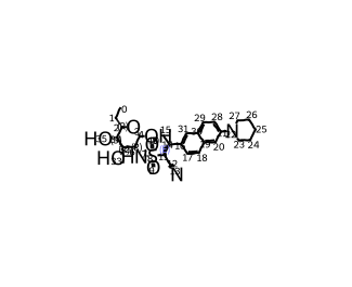 CC[C@H]1OC(O)[C@H](NS(=O)(=O)/C(C#N)=C(\C)c2ccc3cc(N4CCCCC4)ccc3c2)[C@@H](O)[C@@H]1O